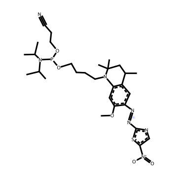 COc1cc2c(cc1/N=N/c1ncc([N+](=O)[O-])s1)C(C)CC(C)(C)N2CCCCOP(OCCC#N)N(C(C)C)C(C)C